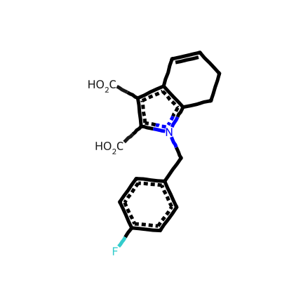 O=C(O)c1c2c(n(Cc3ccc(F)cc3)c1C(=O)O)CCC=C2